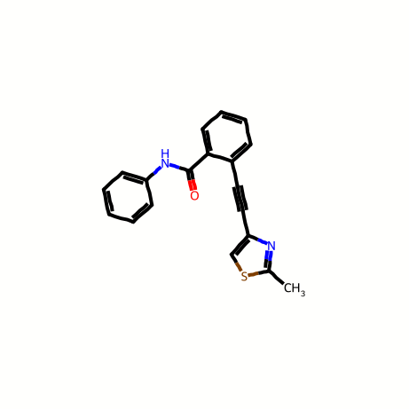 Cc1nc(C#Cc2ccccc2C(=O)Nc2ccccc2)cs1